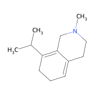 CC(C)C1=C2CN(C)CCC2=CCC1